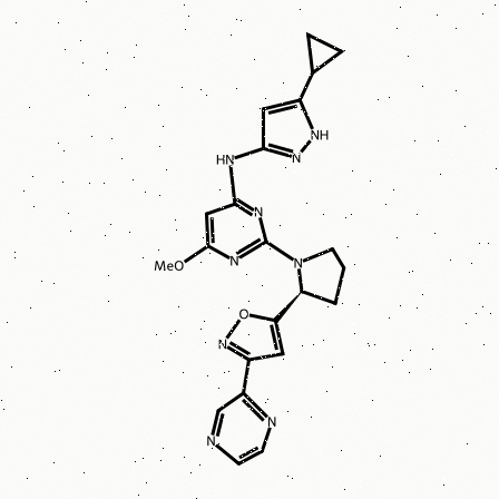 COc1cc(Nc2cc(C3CC3)[nH]n2)nc(N2CCC[C@H]2c2cc(-c3cnccn3)no2)n1